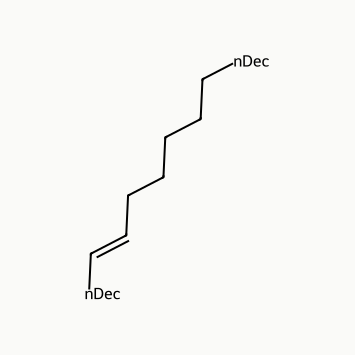 CCCCCCCCCCC=CCCCCCCCCCCCCCCC